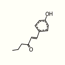 CCCC(=O)/C=C/c1ccc(O)cc1